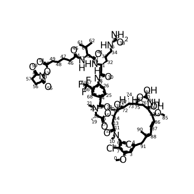 COc1cc2cc(c1Cl)N(C)C(=O)C[C@H](OC(=O)[C@H](C)N(C)C(=O)c1ccc(NC(=O)[C@H](CCCNC(N)=O)NC(=O)[C@@H](NC(=O)CCCCC(=O)ON3C(=O)CCC3=O)C(C)C)c(C(F)(F)F)c1)[C@]1(C)O[C@H]1[C@H](C)[C@@H]1C[C@@](O)(NC(O)O1)[C@H](OC)/C=C/C=C(\C)C2